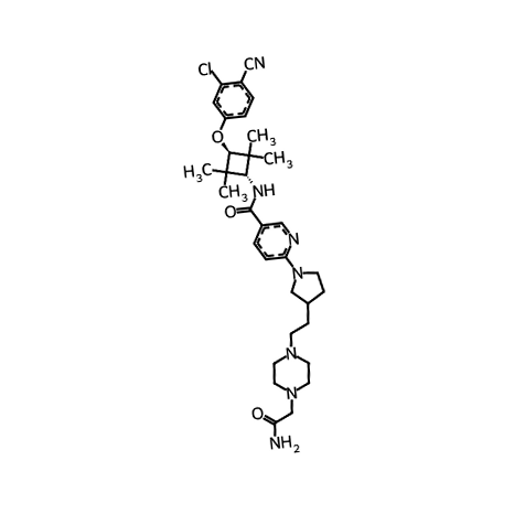 CC1(C)[C@H](NC(=O)c2ccc(N3CCC(CCN4CCN(CC(N)=O)CC4)C3)nc2)C(C)(C)[C@H]1Oc1ccc(C#N)c(Cl)c1